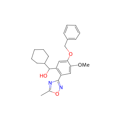 COc1cc(-c2noc(C)n2)c(C(O)C2CCCCC2)cc1OCc1ccccc1